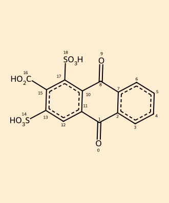 O=C1c2ccccc2C(=O)c2c1cc(S(=O)(=O)O)c(C(=O)O)c2S(=O)(=O)O